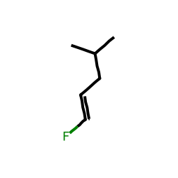 CC(C)CC=[C]F